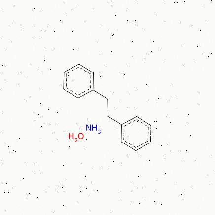 N.O.c1ccc(CCc2ccccc2)cc1